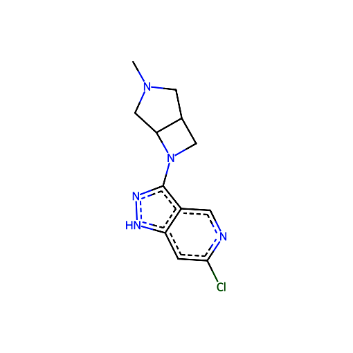 CN1CC2CN(c3n[nH]c4cc(Cl)ncc34)C2C1